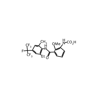 CCc1cc(C(F)(C(F)(F)F)C(F)(F)F)cc(C)c1NC(=O)c1cccc(NC(=O)O)c1OC